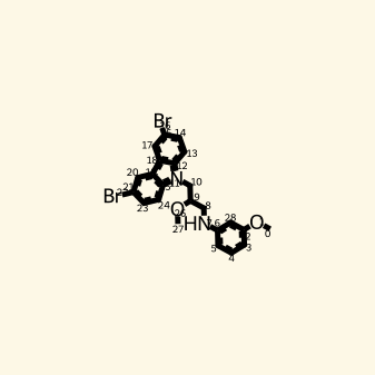 COc1cccc(NCC(Cn2c3ccc(Br)cc3c3cc(Br)ccc32)OC)c1